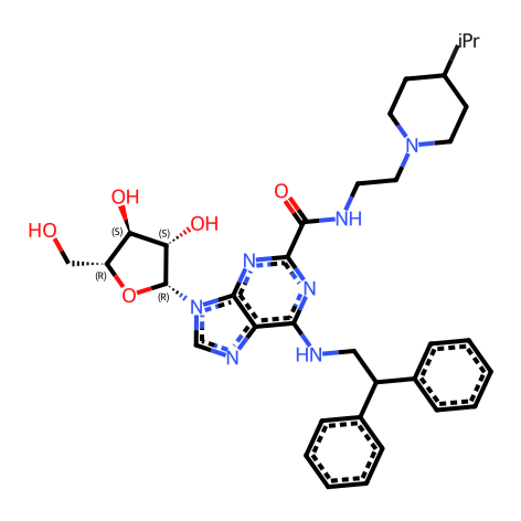 CC(C)C1CCN(CCNC(=O)c2nc(NCC(c3ccccc3)c3ccccc3)c3ncn([C@@H]4O[C@H](CO)[C@@H](O)[C@@H]4O)c3n2)CC1